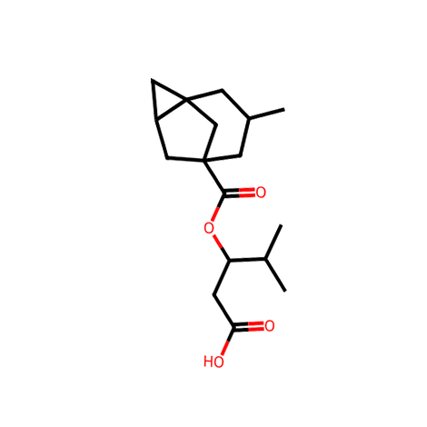 CC1CC2(C(=O)OC(CC(=O)O)C(C)C)CC3CC3(C1)C2